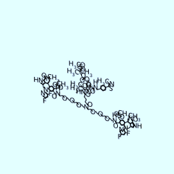 Cc1ncsc1-c1ccc(CNC(=O)[C@@H]2C[C@@H](OC(=O)OCC(C)(C)SS(C)(=O)=O)CN2C(=O)[C@@H](NC(=O)CCCC(=O)N(CCOCCOCCOCCNC(=O)c2cc3c(cc2CS(C)(=O)=O)-c2cn(C)c(=O)c4[nH]cc(c24)CN3c2ncc(F)cc2F)CCOCCOCCOCCNC(=O)c2cc3c(cc2CS(C)(=O)=O)-c2cn(C)c(=O)c4[nH]cc(c24)CN3c2ncc(F)cc2F)C(C)(C)C)cc1